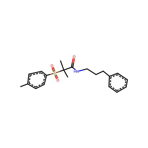 Cc1ccc(S(=O)(=O)C(C)(C)C(=O)NCCCc2ccccc2)cc1